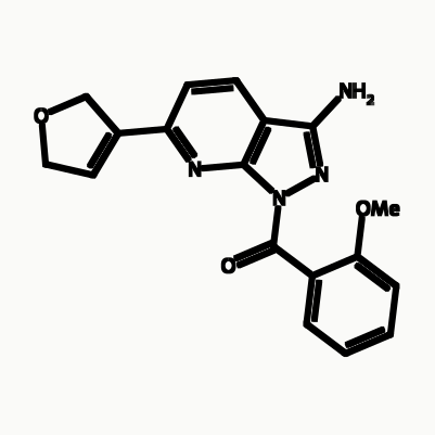 COc1ccccc1C(=O)n1nc(N)c2ccc(C3=CCOC3)nc21